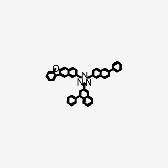 c1ccc(-c2ccc3cc(-c4nc(-c5ccc6cc7oc8ccccc8c7cc6c5)nc(-c5cc(-c6ccccc6)c6ccccc6c5)n4)ccc3c2)cc1